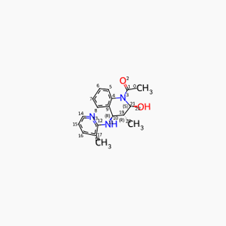 CC(=O)N1c2ccccc2[C@H](Nc2ncccc2C)[C@@H](C)[C@@H]1O